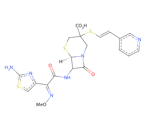 CON=C(C(=O)NC1C(=O)N2CC(SC=Cc3cccnc3)(C(=O)O)CS[C@H]12)c1csc(N)n1